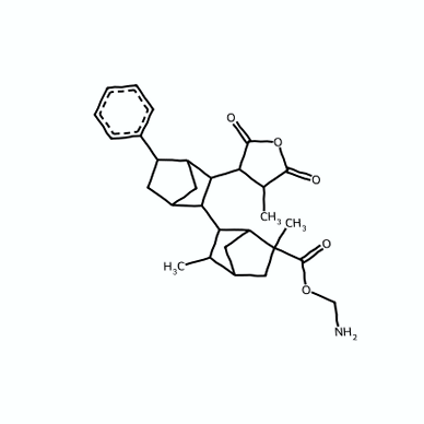 CC1C(=O)OC(=O)C1C1C2CC(CC2c2ccccc2)C1C1C(C)C2CC1C(C)(C(=O)OCN)C2